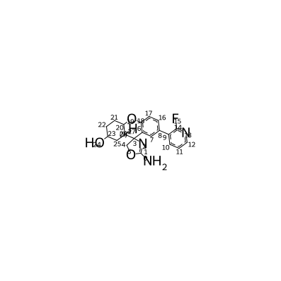 NC1=NC2(CO1)c1cc(-c3cccnc3F)ccc1OC1CCC(O)C[C@H]12